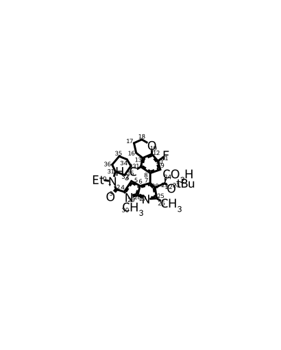 CCN(C(=O)c1cc2c(-c3cc(F)c4c(c3C)CCCO4)c([C@H](OC(C)(C)C)C(=O)O)c(C)nc2n1C)C1CCCCC1